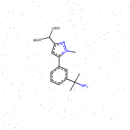 COC(OC)c1cc(-c2cccc(C(C)(C)N)c2)n(C)n1